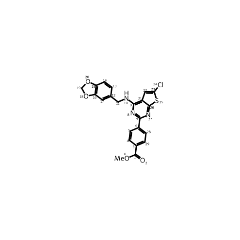 COC(=O)c1ccc(-c2nc(NCc3ccc4c(c3)OCO4)c3cc(Cl)sc3n2)cc1